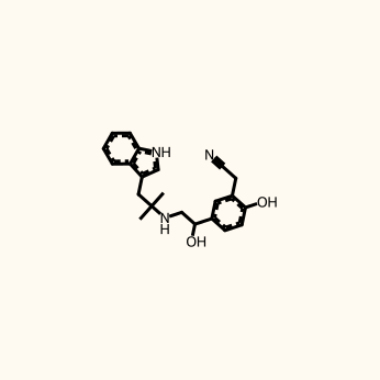 CC(C)(Cc1c[nH]c2ccccc12)NCC(O)c1ccc(O)c(CC#N)c1